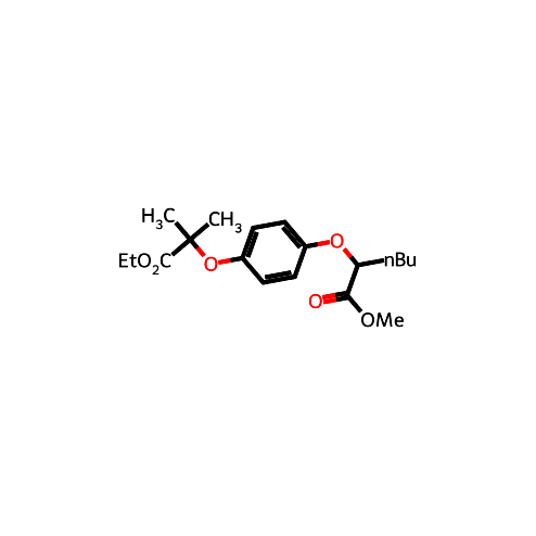 CCCCC(Oc1ccc(OC(C)(C)C(=O)OCC)cc1)C(=O)OC